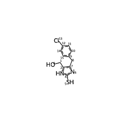 OCc1[nH]c(S)nc1Cc1ccc(Cl)cc1